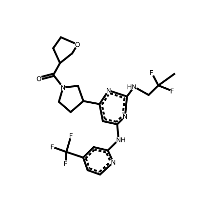 CC(F)(F)CNc1nc(Nc2cc(C(F)(F)F)ccn2)cc(C2CCN(C(=O)C3CCOC3)C2)n1